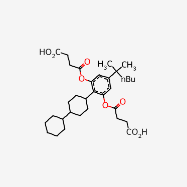 CCCCC(C)(C)c1cc(OC(=O)CCC(=O)O)c(C2CCC(C3CCCCC3)CC2)c(OC(=O)CCC(=O)O)c1